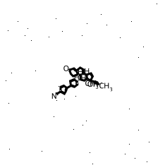 CC#C[C@]1(O)C=C[C@H]2[C@@H]3CCC4=CC(=O)CC[C@@H]4[C@H]3[C@@H](c3ccc(-c4ccc(C#N)cc4)cc3)C[C@@]21C